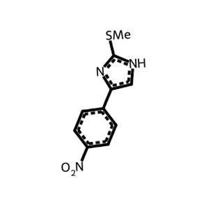 CSc1nc(-c2ccc([N+](=O)[O-])cc2)c[nH]1